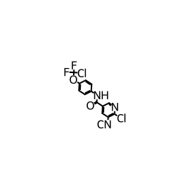 N#Cc1cc(C(=O)Nc2ccc(OC(F)(F)Cl)cc2)cnc1Cl